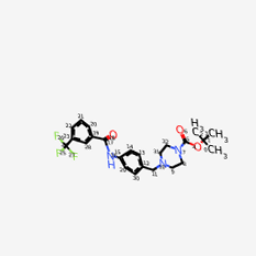 CC(C)(C)OC(=O)N1CCN(Cc2ccc(NC(=O)c3cccc(C(F)(F)F)c3)cc2)CC1